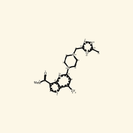 CNC(=O)c1csc2c(C(F)(F)F)cc(N3CCN(Cc4nnc(C)o4)CC3)nc12